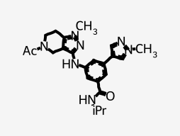 CC(=O)N1CCc2c(c(Nc3cc(C(=O)NC(C)C)cc(-c4cnn(C)c4)c3)nn2C)C1